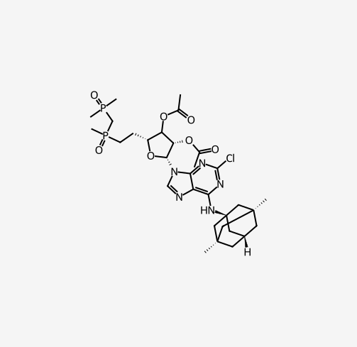 CC(=O)OC1[C@@H](CCP(C)(=O)CP(C)(C)=O)O[C@@H](n2cnc3c(N[C@@]45C[C@@H]6C[C@@](C)(C[C@@](C)(C6)C4)C5)nc(Cl)nc32)[C@H]1OC(C)=O